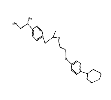 CC(OCCOc1ccc(C2CCCCC2)cc1)Oc1ccc(C(CC(C)(C)C)C(C)(C)C)cc1